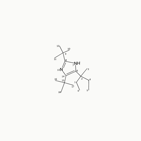 CCC(C)(CC)c1[nH]c(C(C)(C)C)nc1C(C)(C)C